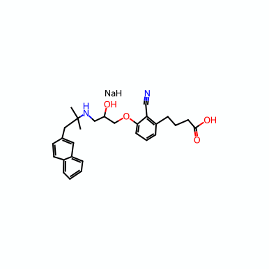 CC(C)(Cc1ccc2ccccc2c1)NCC(O)COc1cccc(CCCC(=O)O)c1C#N.[NaH]